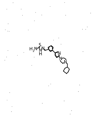 NC(=S)NN=Cc1cccc(-c2ccc(N3CCN(CC4CCCCC4)CC3)nc2)c1